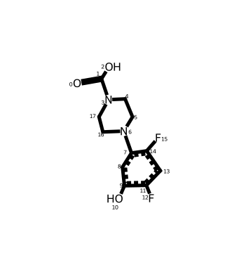 O=C(O)N1CCN(c2cc(O)c(F)cc2F)CC1